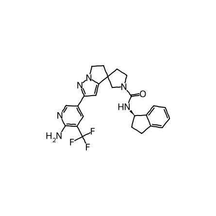 Nc1ncc(-c2cc3n(n2)CCC32CCN(C(=O)N[C@@H]3CCc4ccccc43)C2)cc1C(F)(F)F